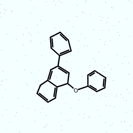 C1=CCC2=CC(c3ccccc3)=CC(Oc3ccccc3)C2=C1